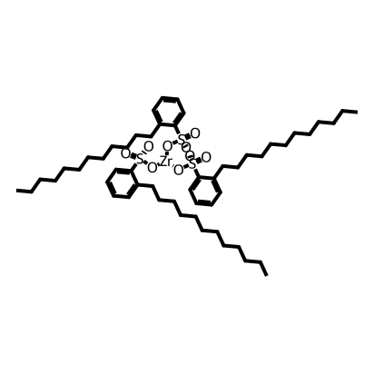 CCCCCCCCCCCCc1ccccc1S(=O)(=O)[O][Zr]([O]S(=O)(=O)c1ccccc1CCCCCCCCCCCC)[O]S(=O)(=O)c1ccccc1CCCCCCCCCCCC